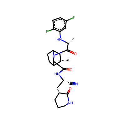 C[C@@H](Nc1cc(F)ccc1F)C(=O)N1C2CCC(CC2)[C@@H]1C(=O)N[C@H](C#N)C[C@H]1CCCNC1=O